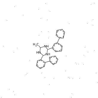 CC1NC(c2cccc(-c3ccccc3)c2)NC(c2ccccc2-c2ccccc2)N1